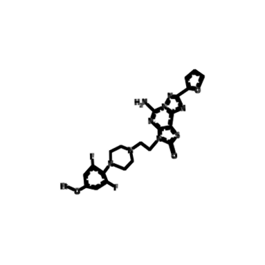 CCOc1cc(F)c(N2CCN(CCn3c(=O)sc4c3nc(N)n3nc(-c5ccco5)nc43)CC2)c(F)c1